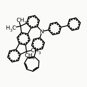 CC1(C)c2ccccc2-c2cc3c(cc21)-c1c(N(c2ccc(C4=CC=CC=CC4)cc2)c2ccc(-c4ccccc4)cc2)cccc1C3(C)C